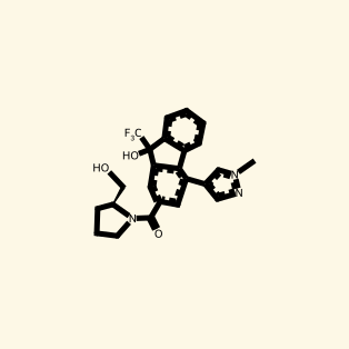 Cn1cc(-c2cc(C(=O)N3CCC[C@H]3CO)cc3c2-c2ccccc2C3(O)C(F)(F)F)cn1